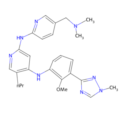 CCCc1cnc(Nc2ccc(CN(C)C)cn2)cc1Nc1cccc(-c2ncn(C)n2)c1OC